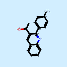 CC(O)c1cc2cc[c]cc2nc1-c1ccc(C(F)(F)F)cc1